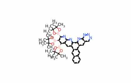 CC1(C)OB(c2nc3nc4c(cc3c(B3OC(C)(C)C(C)(C)O3)c2B2OC(C)(C)C(C)(C)O2)c2cc3ccccc3cc2c2cc3cnnnc3nc24)OC1(C)C